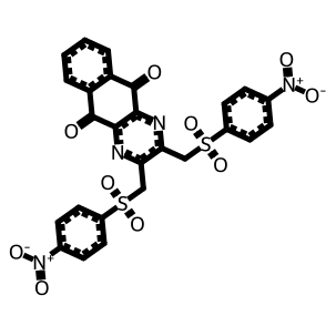 O=C1c2ccccc2C(=O)c2nc(CS(=O)(=O)c3ccc([N+](=O)[O-])cc3)c(CS(=O)(=O)c3ccc([N+](=O)[O-])cc3)nc21